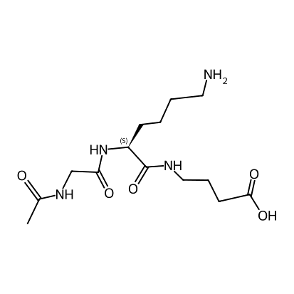 CC(=O)NCC(=O)N[C@@H](CCCCN)C(=O)NCCCC(=O)O